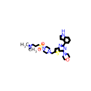 CN(C)CCCS(=O)(=O)N1CCN(Cc2cc3nc(-c4cccc5[nH]ccc45)nc(N4CCOCC4)c3s2)CC1